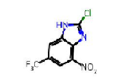 O=[N+]([O-])c1cc(C(F)(F)F)cc2[nH]c(Cl)nc12